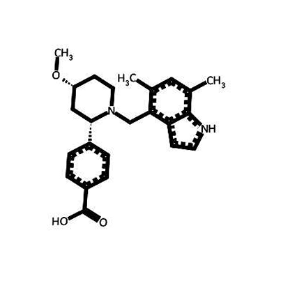 CO[C@@H]1CCN(Cc2c(C)cc(C)c3[nH]ccc23)[C@H](c2ccc(C(=O)O)cc2)C1